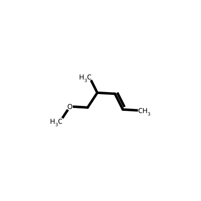 CC=CC(C)COC